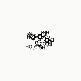 Clc1ccc(C2CNCc3cc(-c4ccc5ncnn5c4)ccc32)cc1Cl.O=C(O)C(O)C(O)C(=O)O